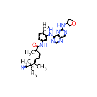 C=C(/C=C\C=C(/C)C(C)(C)C#N)C(=O)Nc1ccc(C)c(Nc2ncnc3cnc(NC4CCOC4)nc23)c1